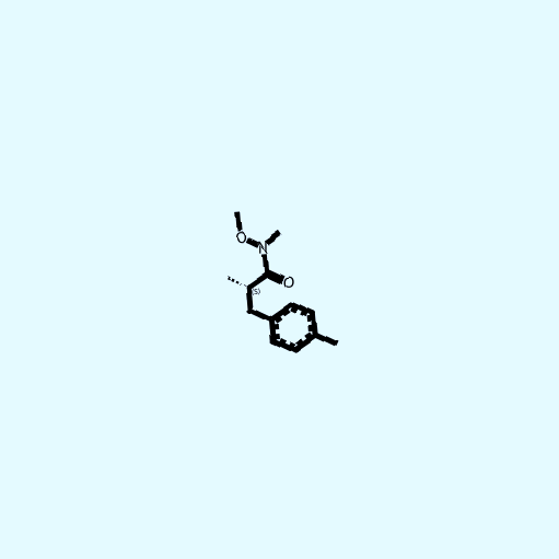 CON(C)C(=O)[C@@H](C)Cc1ccc(C)cc1